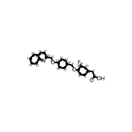 O=C(O)Cc1ccc(OCc2ccc(OCc3ccc4ccccc4n3)cc2)c(F)c1